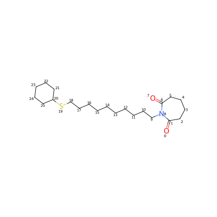 O=C1CCCCC(=O)N1CCCCCCCCCCSC1CCCCC1